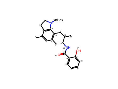 CCCCCCN1CCc2c(C)cc(C)c(CC(C)CNC(=O)c3ccccc3O)c21